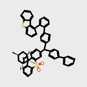 C[C@H]1C[C@@H]2C[C@@H](C)C[C@H](C1)C21c2ccccc2S(=O)(=O)c2cc(C(c3ccc(-c4ccccc4)cc3)c3ccc(-c4ccccc4-c4cccc5sc6ccccc6c45)cc3)ccc21